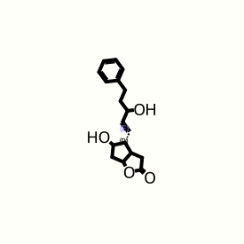 O=C1CC2C(CC(O)[C@@H]2/C=C/C(O)CCc2ccccc2)O1